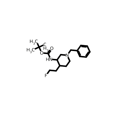 CC(C)(C)OC(=O)NC1CN(Cc2ccccc2)CCC1CCF